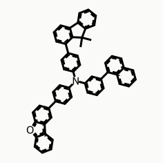 CC1(C)c2ccccc2-c2cccc(-c3ccc(N(c4ccc(-c5ccc6oc7ccccc7c6c5)cc4)c4cccc(-c5cccc6ccccc56)c4)cc3)c21